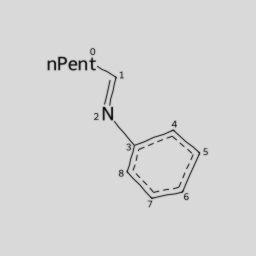 CCCCC/C=N/c1ccccc1